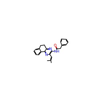 CC(C)=Cc1nc2c(nc1NC(=O)Cc1ccccc1)CCc1ccccc1-2